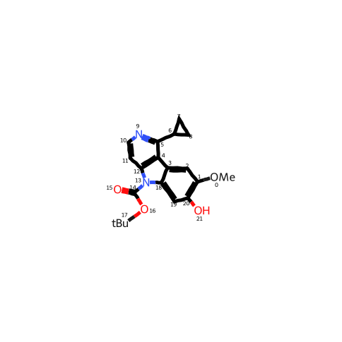 COc1cc2c3c(C4CC4)nccc3n(C(=O)OC(C)(C)C)c2cc1O